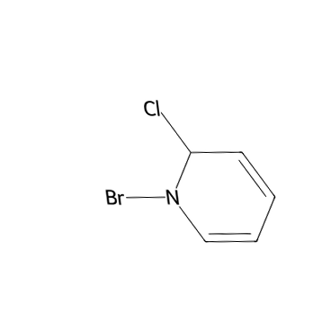 ClC1C=CC=CN1Br